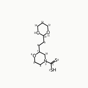 S=C(S)N1CCOC(CCC2OCCCO2)C1